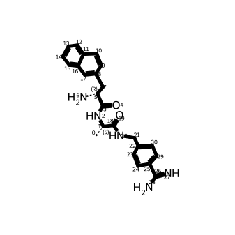 C[C@H](NC(=O)[C@H](N)Cc1ccc2ccccc2c1)C(=O)NCc1ccc(C(=N)N)cc1